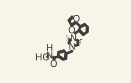 C[C@@H]1CN(Cc2ccc(C(=O)NO)cc2)C[C@H](C)N1C(=O)c1ccccc1-c1ccco1